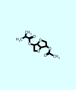 CC(=O)OC1COC2C(OC(=O)C(C)C)COC12